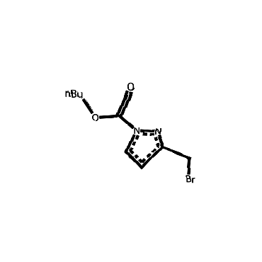 CCCCOC(=O)n1ccc(CBr)n1